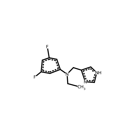 CCN(Cc1c[nH]cn1)c1cc(F)cc(F)c1